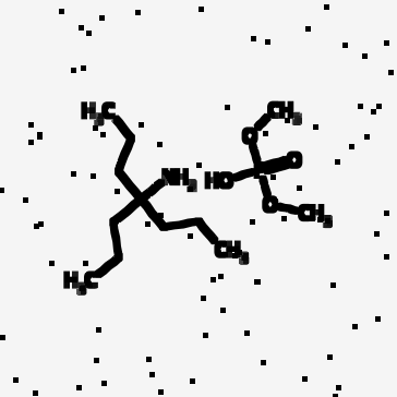 CCCC(N)(CCC)CCC.COP(=O)(O)OC